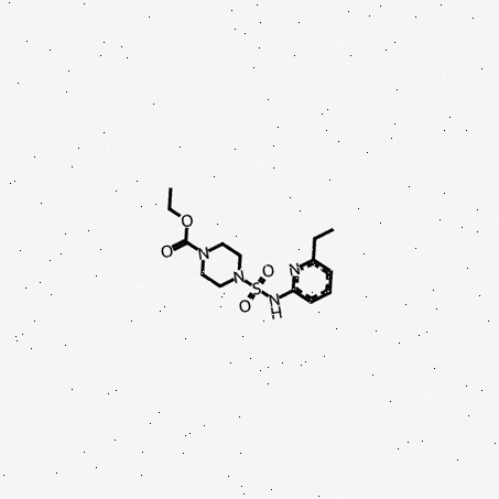 CCOC(=O)N1CCN(S(=O)(=O)Nc2cccc(CC)n2)CC1